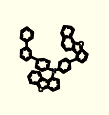 c1ccc(-c2cccc(-c3ccc(N(c4ccc(-c5cccc6oc7c8ccccc8ccc7c56)cc4)c4cccc5oc6ccccc6c45)cc3)c2)cc1